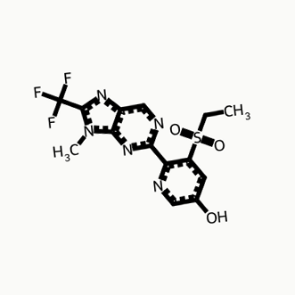 CCS(=O)(=O)c1cc(O)cnc1-c1ncc2nc(C(F)(F)F)n(C)c2n1